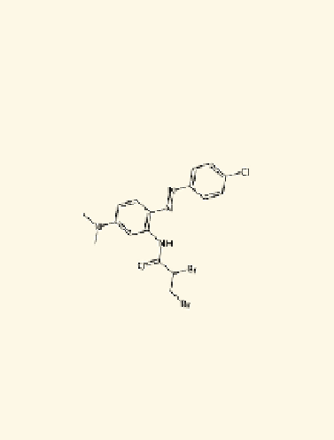 CN(C)c1ccc(N=Nc2ccc(Cl)cc2)c(NC(=O)C(Br)CBr)c1